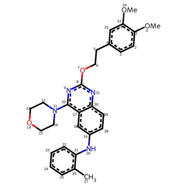 COc1ccc(CCOc2nc(N3CCOCC3)c3cc(Nc4ccccc4C)ccc3n2)cc1OC